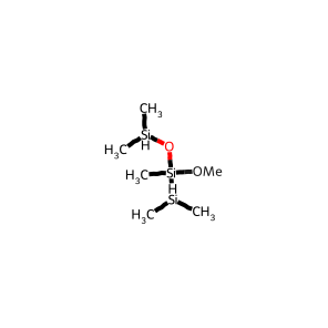 CO[Si](C)(O[SiH](C)C)[SiH](C)C